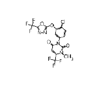 Cn1c(C(F)(F)F)cc(=O)n(-c2ccc(Cl)c(Oc3nnc(C(F)(F)F)o3)c2)c1=O